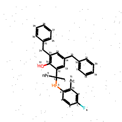 CCCC(C)(Pc1ccc(F)cc1C(C)=O)c1cc(Cc2ccccc2)cc(Cc2ccccc2)c1O